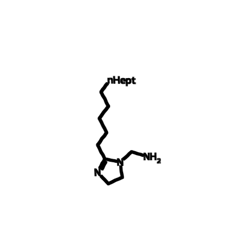 CCCCCCCCCCCCC1=NCCN1CN